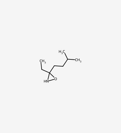 CCC1(CCC(C)C)NO1